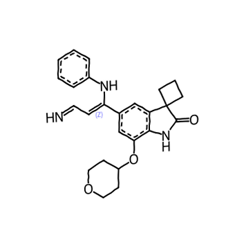 N=C/C=C(\Nc1ccccc1)c1cc(OC2CCOCC2)c2c(c1)C1(CCC1)C(=O)N2